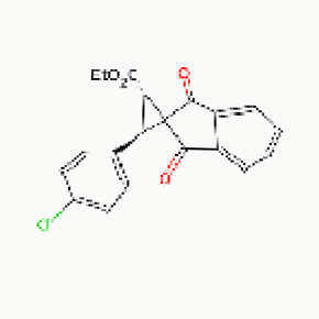 CCOC(=O)[C@H]1[C@H](c2ccc(Cl)cc2)C12C(=O)c1ccccc1C2=O